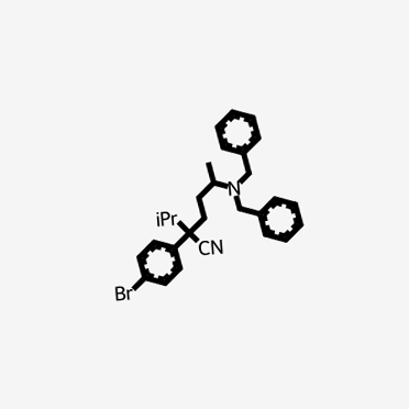 CC(CCC(C#N)(c1ccc(Br)cc1)C(C)C)N(Cc1ccccc1)Cc1ccccc1